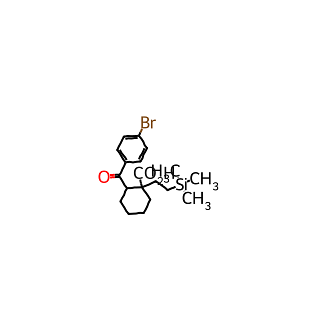 C[Si](C)(C)CCC1(C(=O)O)CCCCC1C(=O)c1ccc(Br)cc1